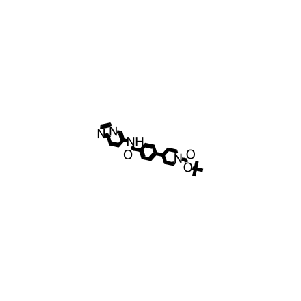 CC(C)(C)OC(=O)N1CCC(c2ccc(C(=O)Nc3ccc4nccn4c3)cc2)CC1